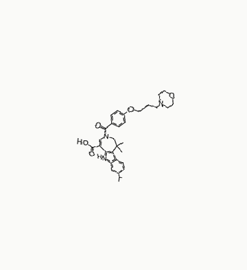 CC1(C)CN(C(=O)c2ccc(OCCCN3CCOCC3)cc2)C=C(C(=O)O)c2[nH]c3cc(F)ccc3c21